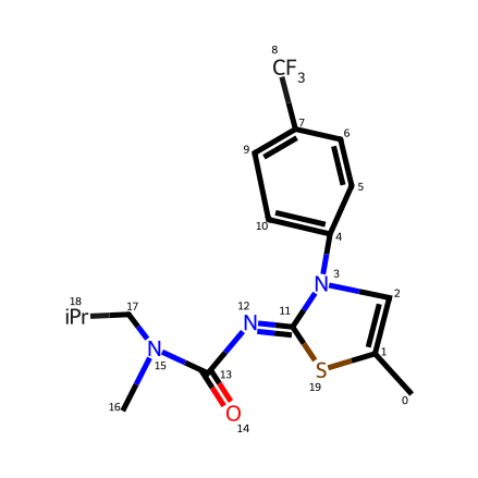 Cc1cn(-c2ccc(C(F)(F)F)cc2)c(=NC(=O)N(C)CC(C)C)s1